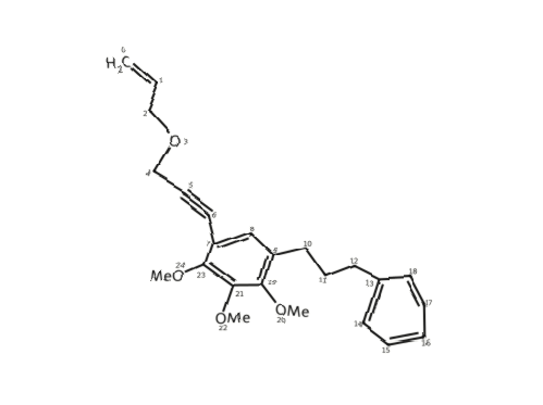 C=CCOCC#Cc1[c]c(CCCc2ccccc2)c(OC)c(OC)c1OC